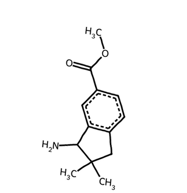 COC(=O)c1ccc2c(c1)C(N)C(C)(C)C2